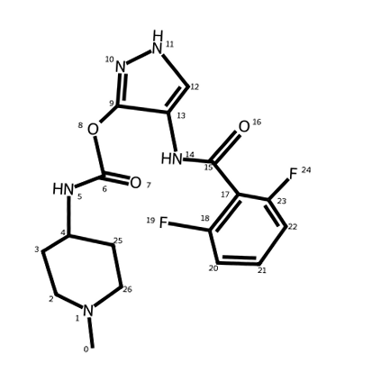 CN1CCC(NC(=O)Oc2n[nH]cc2NC(=O)c2c(F)cccc2F)CC1